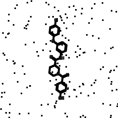 O=C(Nc1cccc(Oc2ccc(Cl)cc2)c1)C1CCCN(C(=O)c2ccc(O)cc2)C1